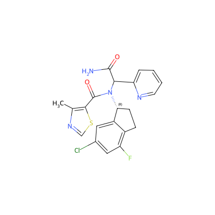 Cc1ncsc1C(=O)N(C(C(N)=O)c1ccccn1)[C@@H]1CCc2c(F)cc(Cl)cc21